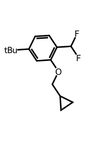 CC(C)(C)c1ccc(C(F)F)c(OCC2CC2)c1